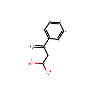 C=C(CC(O)O)c1ccccc1